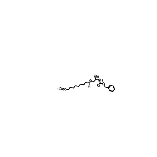 CCCCCCCCCCCCCCCCCCNOCC(NC(=O)OCc1ccccc1)C(C)CC